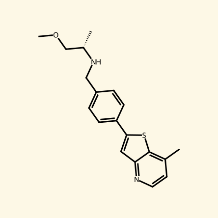 COC[C@H](C)NCc1ccc(-c2cc3nccc(C)c3s2)cc1